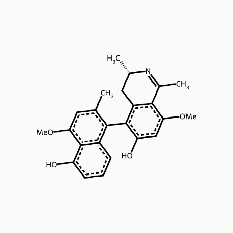 COc1cc(O)c(-c2c(C)cc(OC)c3c(O)cccc23)c2c1C(C)=N[C@@H](C)C2